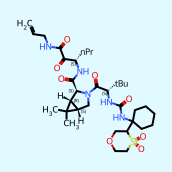 C=CCNC(=O)C(=O)[C@H](CCC)NC(=O)[C@@H]1[C@@H]2[C@H](CN1C(=O)[C@@H](NC(=O)NC1(C3COCCS3(=O)=O)CCCCC1)C(C)(C)C)C2(C)C